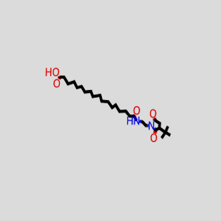 CC(C)(C)C1CC(=O)N(CCNC(=O)CCCCCCCCCCCCCCCCC(=O)O)C1=O